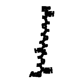 CCNCCOCCOCCNCCOC[C@@H](O)OC(C)=O